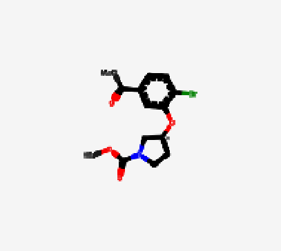 COC(=O)c1ccc(Br)c(O[C@H]2CCN(C(=O)OC(C)(C)C)C2)c1